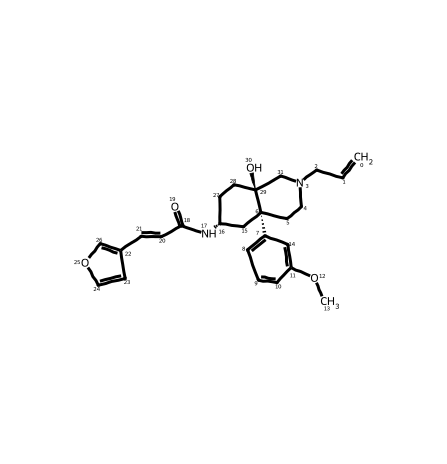 C=CCN1CC[C@@]2(c3cccc(OC)c3)C[C@H](NC(=O)C=Cc3ccoc3)CC[C@]2(O)C1